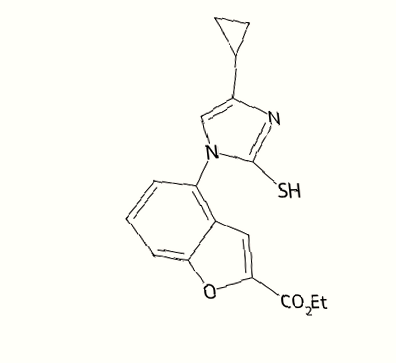 CCOC(=O)c1cc2c(-n3cc(C4CC4)nc3S)cccc2o1